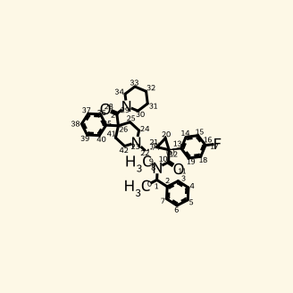 CC(c1ccccc1)N(C)C(=O)[C@@]1(c2ccc(F)cc2)C[C@H]1CN1CCC(C(=O)N2CCCCC2)(c2ccccc2)CC1